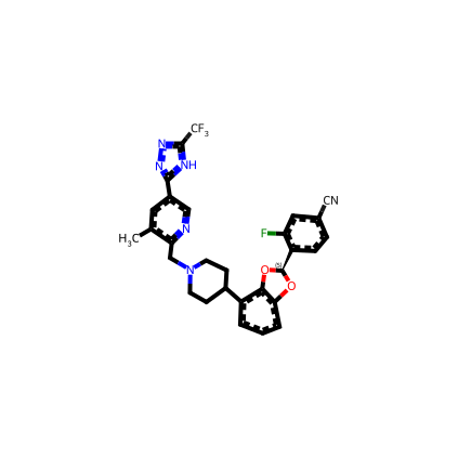 Cc1cc(-c2nnc(C(F)(F)F)[nH]2)cnc1CN1CCC(c2cccc3c2O[C@@H](c2ccc(C#N)cc2F)O3)CC1